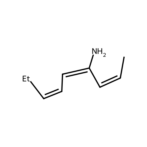 C\C=C/C(N)=C\C=C/CC